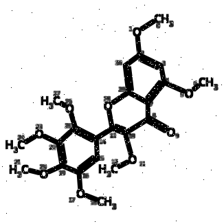 COc1cc(OC)c2c(=O)c(OC)c(-c3cc(OC)c(OC)c(OC)c3OC)oc2c1